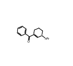 CCCN1C=C(C(=O)c2ccccc2)CCC1